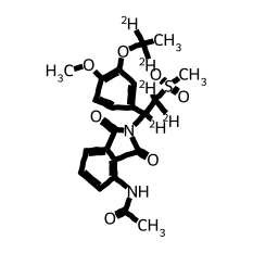 [2H]C([2H])(C)Oc1cc(C([2H])(N2C(=O)c3cccc(NC(C)=O)c3C2=O)C([2H])([2H])S(C)(=O)=O)ccc1OC